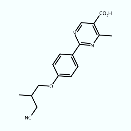 Cc1nc(-c2ccc(OCC(C)CC#N)cc2)ncc1C(=O)O